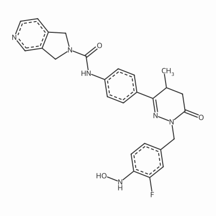 CC1CC(=O)N(Cc2ccc(NO)c(F)c2)N=C1c1ccc(NC(=O)N2Cc3ccncc3C2)cc1